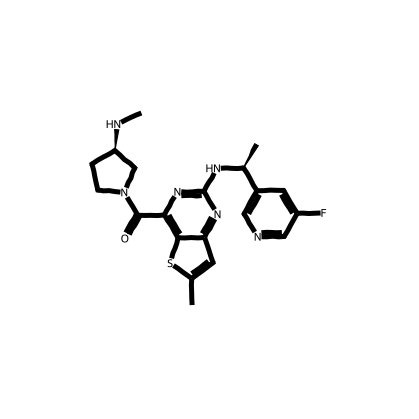 CN[C@@H]1CCN(C(=O)c2nc(N[C@@H](C)c3cncc(F)c3)nc3cc(C)sc23)C1